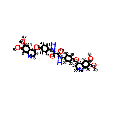 COc1cc2nccc(Oc3ccc(NC(=O)C(=O)Nc4ccc(Oc5ccnc6cc(OC)c(OC)cc56)cc4)cc3)c2cc1OC